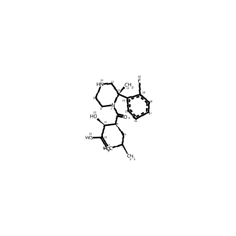 CC(C)C[C@H](C(=O)N1CCNC[C@]1(C)c1ccccc1F)[C@H](O)C(=O)O